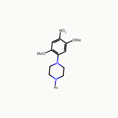 COc1cc([N+](=O)[O-])c(OC)cc1N1CCN(C(C)=O)CC1